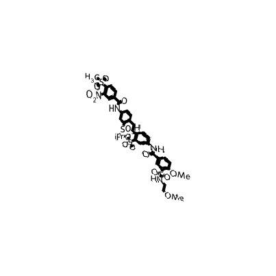 COCCNS(=O)(=O)c1cc(C(=O)Nc2ccc(C=Cc3ccc(NC(=O)c4ccc(S(C)(=O)=O)c([N+](=O)[O-])c4)cc3S(=O)(=O)O)c(S(=O)(=O)OC(C)C)c2)ccc1OC